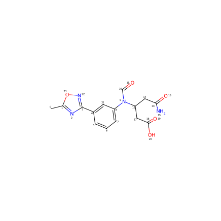 Cc1nc(-c2cccc(N(C=O)C(CC(N)=O)CC(=O)O)c2)no1